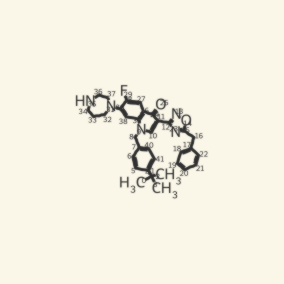 CC(C)(C)c1ccc(Cn2cc(-c3noc(Cc4ccccc4)n3)c(=O)c3cc(F)c(N4CCCNCC4)cc32)cc1